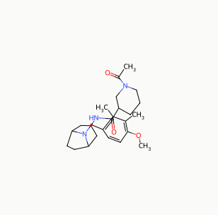 COc1ccc(CN2C3CCC2CC(NC(=O)C2CCCN(C(C)=O)C2)C3)c(C)c1C